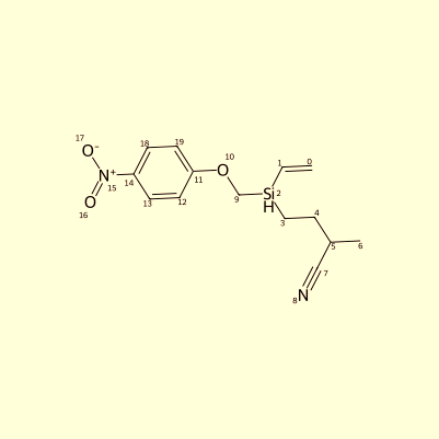 C=C[SiH](CCC(C)C#N)COc1ccc([N+](=O)[O-])cc1